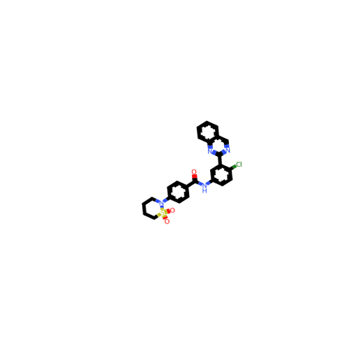 O=C(Nc1ccc(Cl)c(-c2ncc3ccccc3n2)c1)c1ccc(N2CCCCS2(=O)=O)cc1